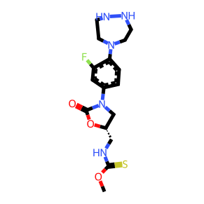 COC(=S)NC[C@H]1CN(c2ccc(N3CCNNCC3)c(F)c2)C(=O)O1